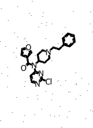 O=C(c1ccoc1)N(c1ccnc(Cl)n1)C1CCN(CCc2ccccc2)CC1